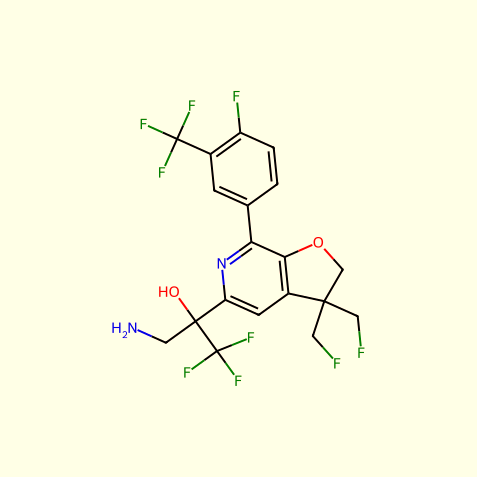 NCC(O)(c1cc2c(c(-c3ccc(F)c(C(F)(F)F)c3)n1)OCC2(CF)CF)C(F)(F)F